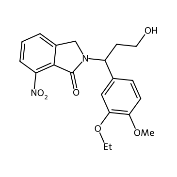 CCOc1cc(C(CCO)N2Cc3cccc([N+](=O)[O-])c3C2=O)ccc1OC